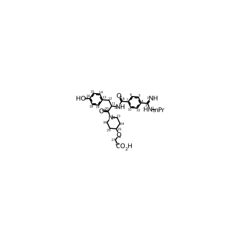 CCCNC(=N)c1ccc(C(=O)NC(Cc2ccc(O)cc2)C(=O)N2CCC(OCC(=O)O)CC2)cc1